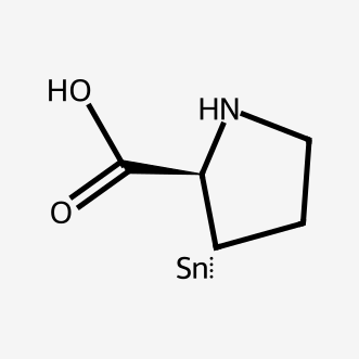 O=C(O)[C@@H]1CCCN1.[Sn]